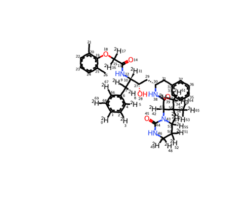 [2H]c1c([2H])c([2H])c(C([2H])([2H])[C@]([2H])(NC(=O)C([2H])([2H])Oc2c(C)cccc2C)[C@@H](O)C[C@H](Cc2ccccc2)NC(=O)[C@@]([2H])(N2C(=O)NC([2H])([2H])C([2H])([2H])C2([2H])[2H])C([2H])(C([2H])([2H])[2H])C([2H])([2H])[2H])c([2H])c1[2H]